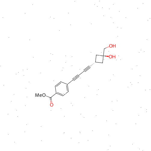 COC(=O)c1ccc(C#CC#C[C@H]2C[C@@](O)(CO)C2)cc1